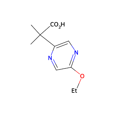 CCOc1cnc(C(C)(C)C(=O)O)cn1